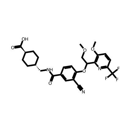 COCC(Oc1ccc(C(=O)NC[C@H]2CC[C@H](C(=O)O)CC2)cc1C#N)c1nc(C(F)(F)F)ccc1OC